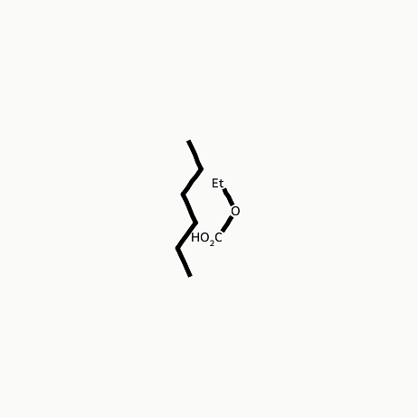 CCCCCC.CCOC(=O)O